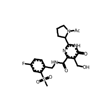 CC(=O)N1CCCC1c1nc(C(=O)NCc2ccc(F)cc2S(C)(=O)=O)c(CO)c(=O)[nH]1